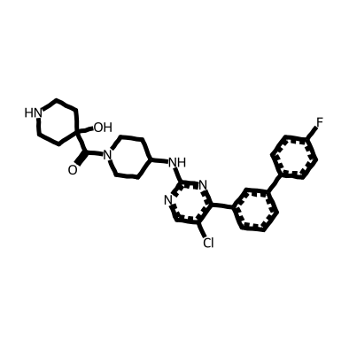 O=C(N1CCC(Nc2ncc(Cl)c(-c3cccc(-c4ccc(F)cc4)c3)n2)CC1)C1(O)CCNCC1